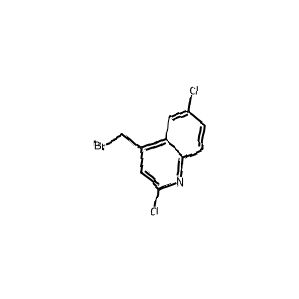 Clc1ccc2nc(Cl)cc(CBr)c2c1